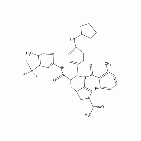 CC(=O)N1C=C2C(CC(C(=O)Nc3ccc(C)c(C(F)(F)F)c3)C(c3ccc(NC4CCCC4)cc3)N2C(=O)c2c(C)cccc2F)C1